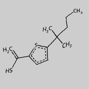 C=C(S)c1ccc(C(C)(C)CCC)s1